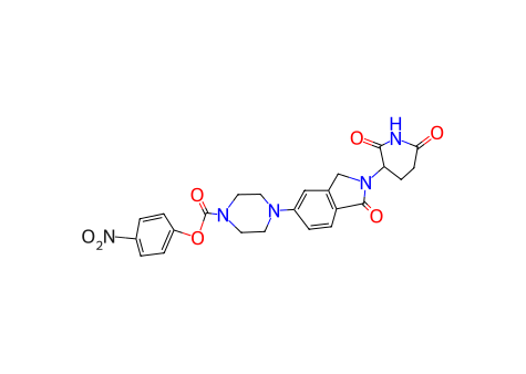 O=C1CCC(N2Cc3cc(N4CCN(C(=O)Oc5ccc([N+](=O)[O-])cc5)CC4)ccc3C2=O)C(=O)N1